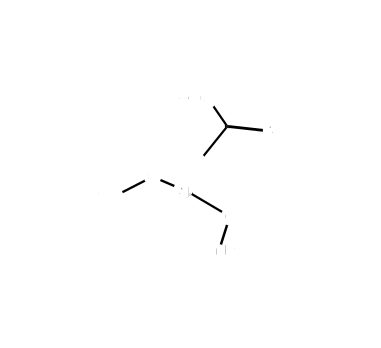 CCC(C(C)=O)C(=O)[O-].CCC[O][Al+][O]CCC